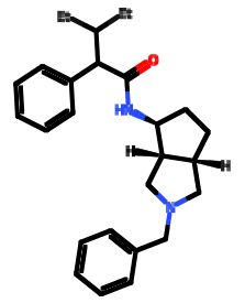 CCC(CC)C(C(=O)N[C@H]1CC[C@@H]2CN(Cc3ccccc3)C[C@@H]21)c1ccccc1